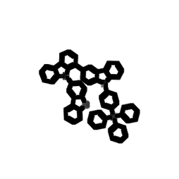 c1ccc([Si](c2ccccc2)(c2ccccc2)c2ccc(-n3c4ccccc4c4cc(-c5cccc6c7ccccc7n(-c7ccc8oc9ccccc9c8c7)c56)ccc43)cc2)cc1